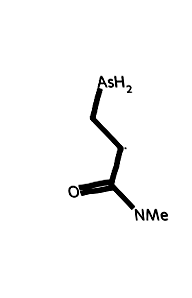 CNC(=O)[CH]C[AsH2]